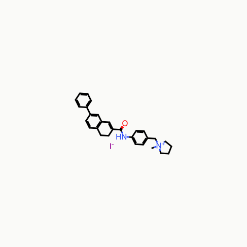 C[N+]1(Cc2ccc(NC(=O)C3=Cc4cc(-c5ccccc5)ccc4CC3)cc2)CCCC1.[I-]